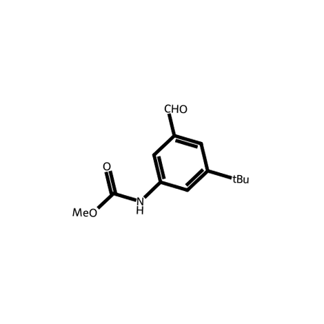 COC(=O)Nc1cc(C=O)cc(C(C)(C)C)c1